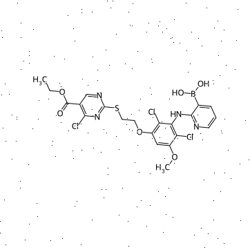 CCOC(=O)c1cnc(SCCOc2cc(OC)c(Cl)c(Nc3ncccc3B(O)O)c2Cl)nc1Cl